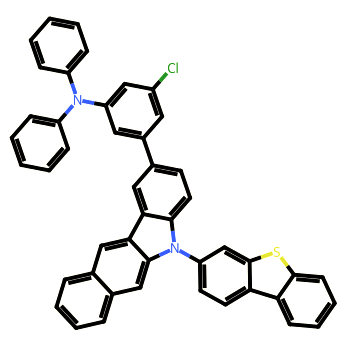 Clc1cc(-c2ccc3c(c2)c2cc4ccccc4cc2n3-c2ccc3c(c2)sc2ccccc23)cc(N(c2ccccc2)c2ccccc2)c1